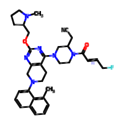 Cc1cccc2cccc(N3CCc4c(nc(OCC5CCCN5C)nc4N4CCN(C(=O)/C=C/CF)C(CC#N)C4)C3)c12